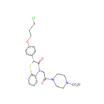 CCOC(=O)N1CCN(C(=O)CN2C(=O)C(c3ccc(OCCCCl)cc3)Sc3ccccc32)CC1